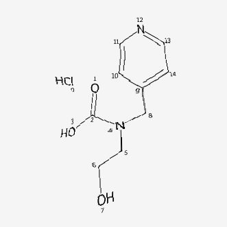 Cl.O=C(O)N(CCO)Cc1ccncc1